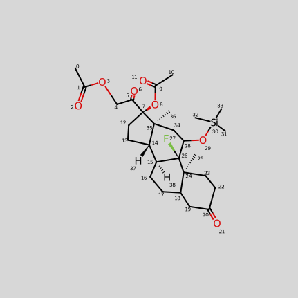 CC(=O)OCC(=O)[C@@]1(OC(C)=O)CC[C@H]2[C@@H]3CCC4CC(=O)CC[C@]4(C)[C@@]3(F)C(O[Si](C)(C)C)C[C@@]21C